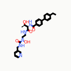 CCc1ccc(-c2ccc(C(=O)N[C@H](C(=O)NCCN(O)C(=O)NCc3cccnc3)[C@@H](C)O)cc2)cc1